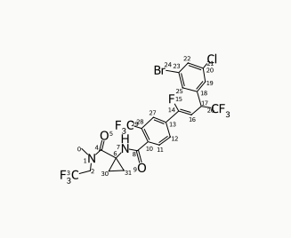 CN(CC(F)(F)F)C(=O)C1(NC(=O)c2ccc(C(F)=CC(c3cc(Cl)cc(Br)c3)C(F)(F)F)cc2C(F)(F)F)CC1